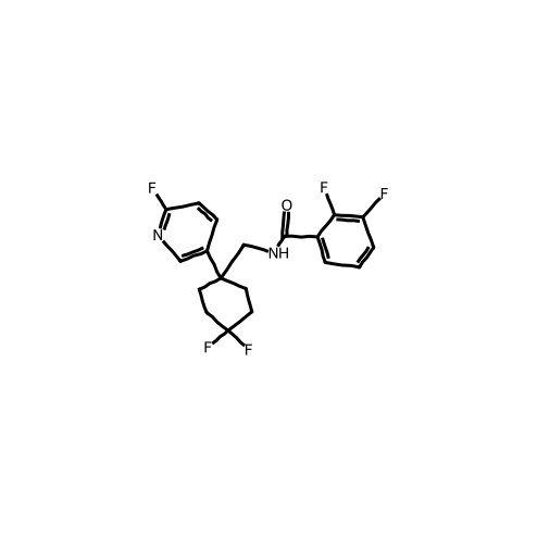 O=C(NCC1(c2ccc(F)nc2)CCC(F)(F)CC1)c1cccc(F)c1F